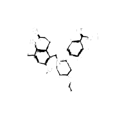 CCO[C@H]1CCN(Cc2c(OC)cc(C)c3c2CCC(=O)N3)[C@H](c2ccc(C(=O)O)cc2)C1